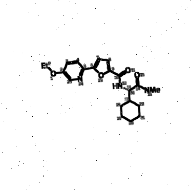 CCOc1ccc(-c2ccc(C(=O)N[C@H](C(=O)NC)C3CCCCC3)o2)nc1